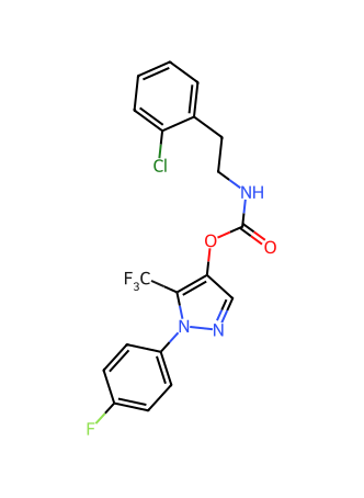 O=C(NCCc1ccccc1Cl)Oc1cnn(-c2ccc(F)cc2)c1C(F)(F)F